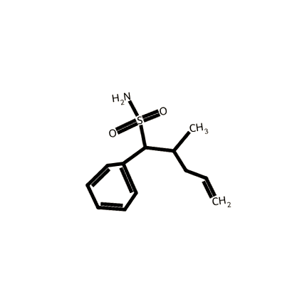 C=CCC(C)C(c1ccccc1)S(N)(=O)=O